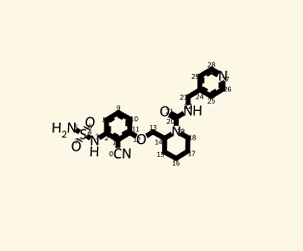 N#Cc1c(NS(N)(=O)=O)cccc1OCC1CCCCN1C(=O)NCc1ccncc1